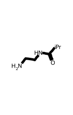 CC(C)C(=O)NCCN